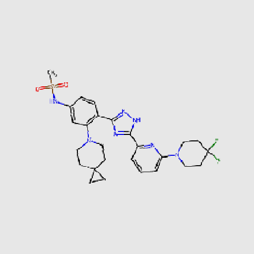 CS(=O)(=O)Nc1ccc(-c2n[nH]c(-c3cccc(N4CCC(F)(F)CC4)n3)n2)c(N2CCC3(CC2)CC3)c1